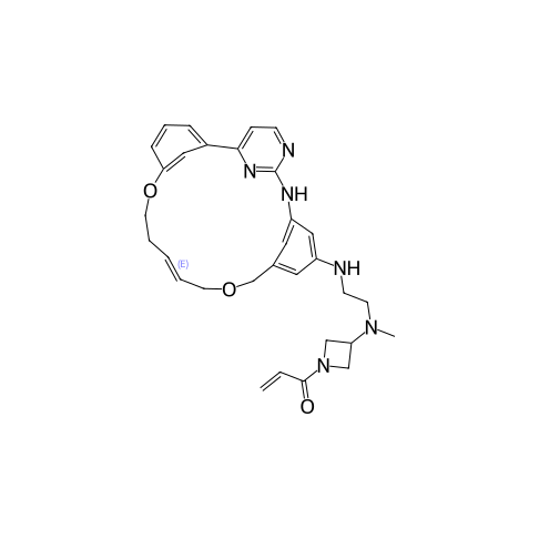 C=CC(=O)N1CC(N(C)CCNc2cc3cc(c2)Nc2nccc(n2)-c2cccc(c2)OCC/C=C/COC3)C1